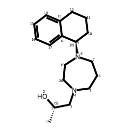 C[C@H](O)CN1CCCN([C@@H]2CCCc3ccccc32)CC1